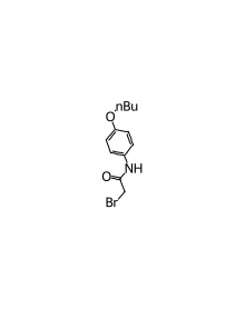 CCCCOc1ccc(NC(=O)CBr)cc1